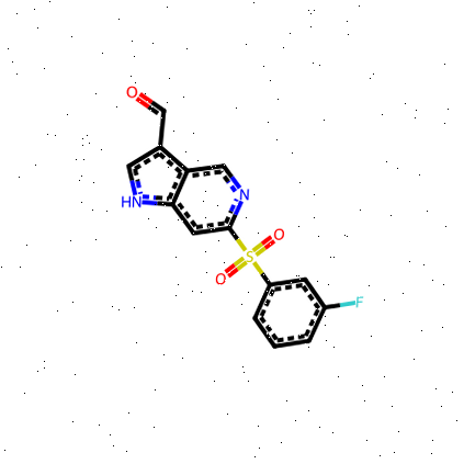 O=Cc1c[nH]c2cc(S(=O)(=O)c3cccc(F)c3)ncc12